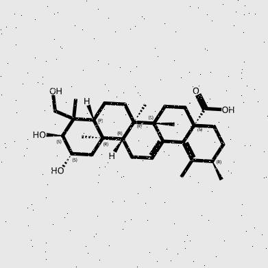 CC1=C2C3=CC[C@@H]4[C@@]5(C)C[C@H](O)[C@@H](O)C(C)(CO)[C@@H]5CC[C@@]4(C)[C@]3(C)CC[C@@]2(C(=O)O)CC[C@H]1C